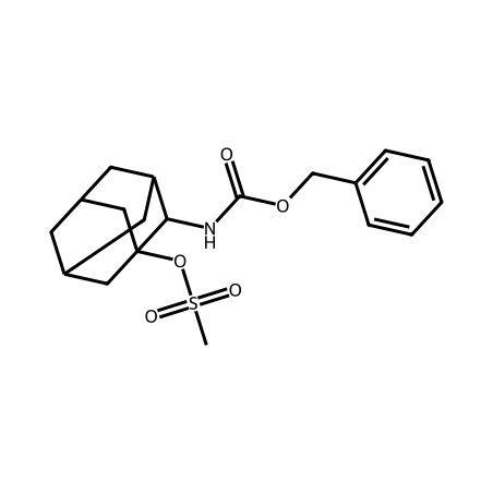 CS(=O)(=O)OC12CC3CC(CC(C3)C1NC(=O)OCc1ccccc1)C2